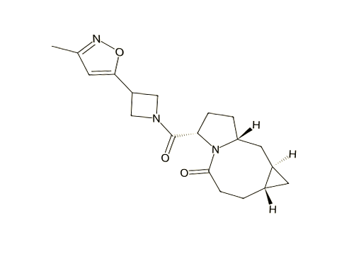 Cc1cc(C2CN(C(=O)[C@@H]3CC[C@@H]4C[C@H]5C[C@@H]5CCC(=O)N43)C2)on1